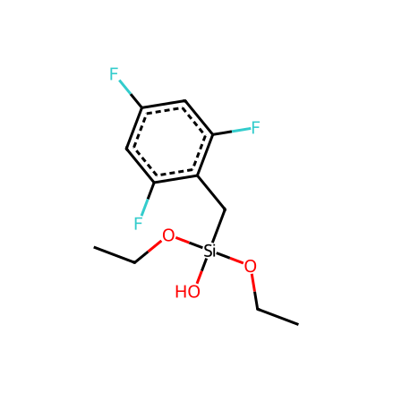 CCO[Si](O)(Cc1c(F)cc(F)cc1F)OCC